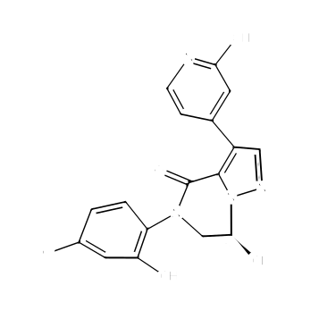 Cc1cc(-c2cnn3c2C(=O)N(c2ccc(Cl)cc2C)C[C@@H]3C)ccn1